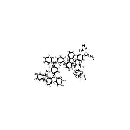 COc1cc2c(cc1OC)C1(c3cc(OC)c(OC)cc3-2)c2ccccc2-c2c(-c3cccc(N(c4ccccc4)c4ccc(-n5c6ccccc6c6ccc7c8ccccc8[nH]c7c65)cc4)c3)cccc21